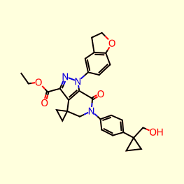 CCOC(=O)c1nn(-c2ccc3c(c2)CCO3)c2c1C1(CC1)CN(c1ccc(C3(CO)CC3)cc1)C2=O